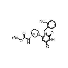 CC(C)(C)OC(=O)N[C@@H]1CCCN(c2cc(=O)[nH]c(=O)n2Cc2ccccc2C#N)C1